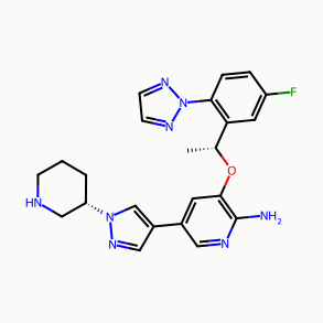 C[C@@H](Oc1cc(-c2cnn([C@H]3CCCNC3)c2)cnc1N)c1cc(F)ccc1-n1nccn1